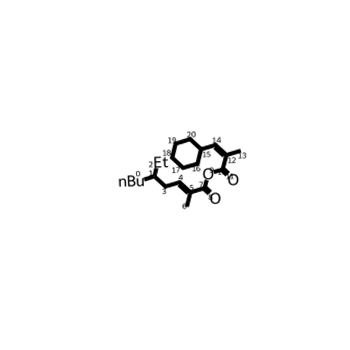 CCCCC(CC)CC=C(C)C(=O)OC(=O)C(C)=CC1CCCCC1